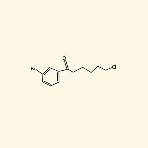 O=C(CCCCCCl)c1cccc(Br)c1